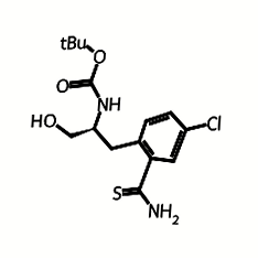 CC(C)(C)OC(=O)N[C@H](CO)Cc1ccc(Cl)cc1C(N)=S